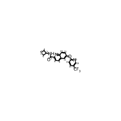 O=C(NC1CSC1)c1ccc2cc(Oc3ccc(C(F)(F)F)cn3)ccc2n1